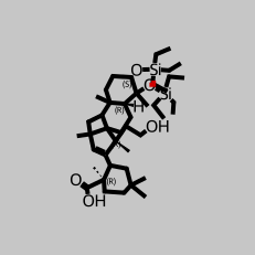 CC[Si](CC)(CC)O[C@H]1CCC2(C)C3CC4(C)C=C(C5CC(C)(C)CC[C@@]5(C)C(=O)O)[C@@](C)(CCO)C34CC[C@H]2C1(C)O[Si](CC)(CC)CC